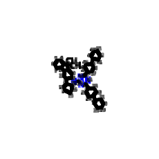 CC1(C)c2ccccc2-c2cc3c4ccccc4n(-c4nc(-c5ccc(-c6ccccc6)cc5)nc(-c5ccc(-c6ccccc6)cc5)n4)c3cc21